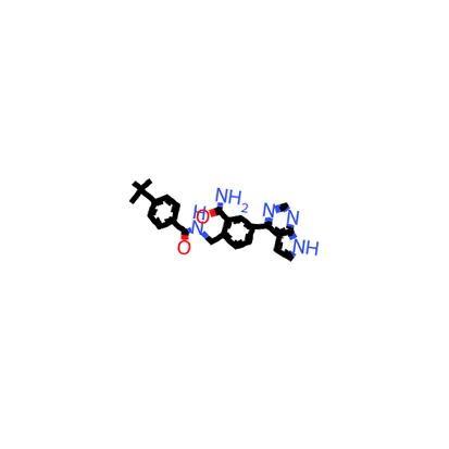 CC(C)(C)c1ccc(C(=O)NCc2ccc(-c3ncnc4[nH]ccc34)cc2C(N)=O)cc1